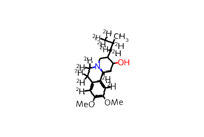 [2H]c1c(OC)c(OC)c([2H])c2c1C1([2H])CC(O)C(C([2H])([2H])C([2H])(C)C([2H])([2H])[2H])CN1C([2H])([2H])C2([2H])[2H]